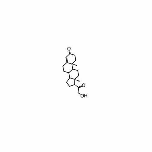 C[C@]12CCC(=O)C=C1CCC1C2CC[C@@]2(C)C1CC[C@@H]2C(=O)CO